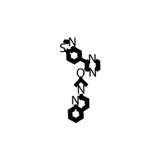 c1ccc2nc(N3CC(Oc4nccnc4-c4ccc5scnc5c4)C3)ccc2c1